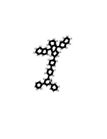 c1ccc(-c2cc(-c3ccccc3)nc(-c3ccc(-c4ccc(-c5ccc6c(-c7ccc8ccccc8c7)c7ccccc7c(-c7ccc8ccccc8c7)c6c5)cc4)cc3)c2)cc1